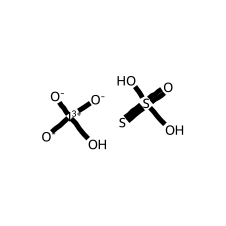 O=S(O)(O)=S.[O-][I+3]([O-])([O-])O